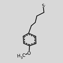 COc1ccc(CCCC[S])cc1